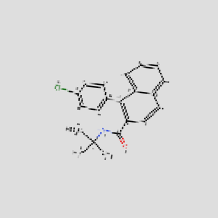 CC(C)(NC(=O)c1ccc2ccccc2c1-c1ccc(Cl)cc1)C(=O)O